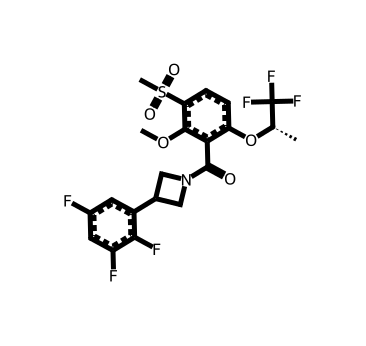 COc1c(S(C)(=O)=O)ccc(O[C@@H](C)C(F)(F)F)c1C(=O)N1CC(c2cc(F)cc(F)c2F)C1